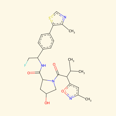 Cc1cc(C(C(=O)N2CC(O)CC2C(=O)NC(CF)c2ccc(-c3scnc3C)cc2)C(C)C)on1